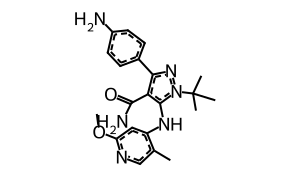 COc1cc(Nc2c(C(N)=O)c(-c3ccc(N)cc3)nn2C(C)(C)C)c(C)cn1